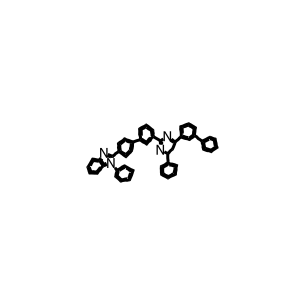 c1ccc(-c2cccc(C3=NC(c4cccc(-c5ccc(-c6nc7ccccc7n6-c6ccccc6)cc5)c4)=NC(c4ccccc4)C3)c2)cc1